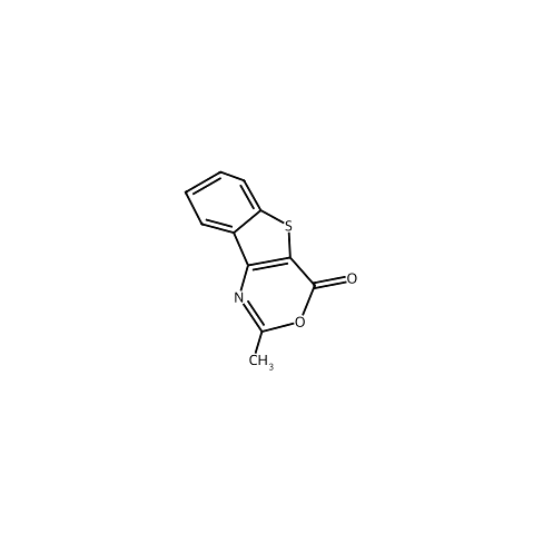 Cc1nc2c(sc3ccccc32)c(=O)o1